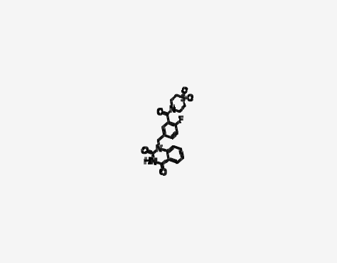 O=C(c1cc(Cn2c(=O)[nH]c(=O)c3ccccc32)ccc1F)N1CCS(=O)(=O)CC1